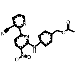 CC(=O)OCc1ccc(Nc2nc(-c3ncccc3C#N)ccc2[N+](=O)[O-])cc1